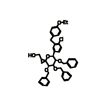 CCOc1ccc(Cc2cc([C@@H]3OC4(CC4CO)[C@@H](OCc4ccccc4)[C@H](OCc4ccccc4)[C@H]3OCc3ccccc3)ccc2Cl)cc1